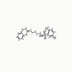 O=S(=O)(NCCCCCN1CCc2ccccc2C1)c1cc(Cl)ccc1Cl